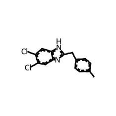 Cc1ccc(Cc2nc3cc(Cl)c(Cl)cc3[nH]2)cc1